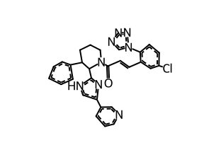 O=C(/C=C/c1cc(Cl)ccc1-n1cnnn1)N1CCCC(c2ccccc2)C1c1nc(-c2cccnc2)c[nH]1